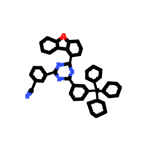 N#Cc1cccc(-c2nc(-c3cccc([Si](c4ccccc4)(c4ccccc4)c4ccccc4)c3)nc(-c3cccc4oc5ccccc5c34)n2)c1